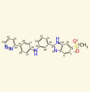 CS(=O)(=O)c1ccc2nc(-c3cccc(Nc4ccc(-c5cccnn5)cc4)c3)[nH]c2c1